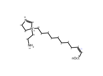 CCCCCCCC/C=C\CCCCCCCC[N+]1(CCN)C=NCC1